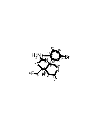 C[C@H]1C[C@H]2[C@@H](CF)SC(N)=N[C@@]2(c2cc(Br)ccc2F)CO1